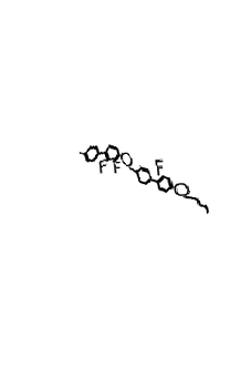 C=CCCCOc1ccc(-c2ccc(COc3ccc(-c4ccc(C)cc4)c(F)c3F)cc2)c(F)c1